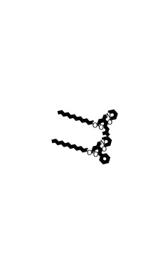 CCCCCCCCCCCCOC1C=C(CN2CCCCC2)C(=O)C(C2CCCCC2)O1.CCCCCCCCCCCCOC1C=C(CN2CCCCC2)C(=O)C(CC(C)C)O1